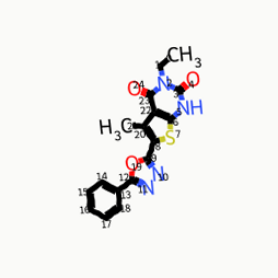 CCn1c(=O)[nH]c2sc(-c3nnc(-c4ccccc4)o3)c(C)c2c1=O